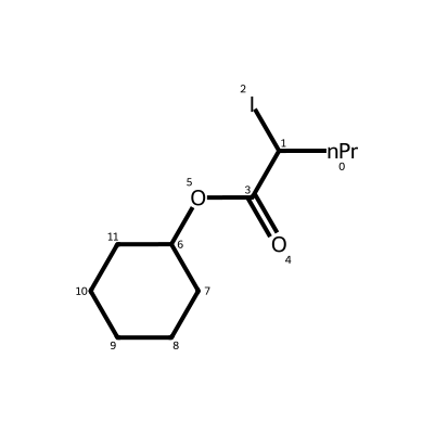 CCCC(I)C(=O)OC1CCCCC1